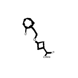 COC(=O)C1CC(OCc2ccccc2Cl)C1